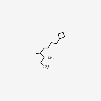 C[C@@H](CCCCC1CCC1)[C@H](N)CC(=O)O